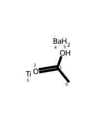 CC(=O)O.[BaH2].[Ti]